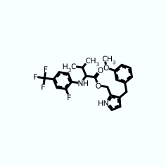 COc1cccc(Cc2cc[nH]c2COC(=O)C(Nc2ccc(C(F)(F)F)cc2F)C(C)C)c1